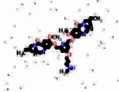 C/C=C1\C[C@H]2C=Nc3cc(OCc4cc(OCCCNC)cc(COc5cc6c(cc5OC)C(=O)N5C/C(=C/C)C[C@H]5C=N6)n4)c(OC)cc3C(=O)N2C1